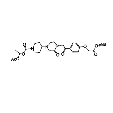 CCCCOC(=O)COc1ccc(C(=O)CN2CCN(C3CCN(C(=O)OC(C)OC(C)=O)CC3)CC2=O)cc1